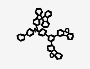 c1ccc(-c2ccc(N(c3ccc(-c4cc(-c5ccc6oc7ccccc7c6c5)cc(-c5ccc6oc7ccccc7c6c5)c4)cc3)c3ccc4c(c3)C3(c5ccccc5-c5ccccc53)c3ccccc3-4)cc2)cc1